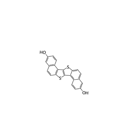 Oc1ccc2c(ccc3sc4c(sc5ccc6cc(O)ccc6c54)c32)c1